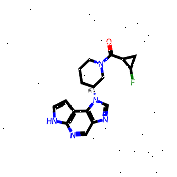 O=C(C1CC1F)N1CCC[C@@H](n2cnc3cnc4[nH]ccc4c32)C1